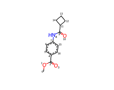 COC(=O)c1ccc(NC(=O)C2CCC2)cc1